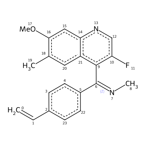 C=Cc1ccc(/C(=N/C)c2c(F)cnc3cc(OC)c(C)cc23)cc1